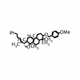 COc1ccc(COC2CC[C@]3(C)C4=C(CCC3C2(C)C)[C@]2(C)OC[C@H]([C@H](C)CCCC(C)C)[C@@]2(C)CC4)cc1